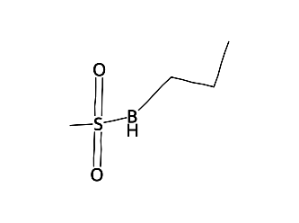 CCCBS(C)(=O)=O